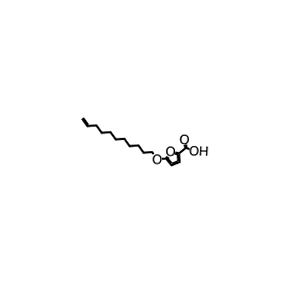 C=CCCCCCCCCCOc1ccc(C(=O)O)o1